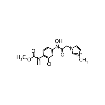 COC(=O)Nc1ccc(N(O)C(=O)Cn2cc[n+](C)c2)cc1Cl